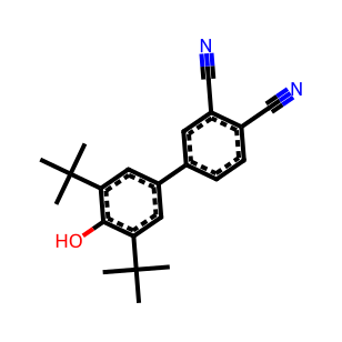 CC(C)(C)c1cc(-c2ccc(C#N)c(C#N)c2)cc(C(C)(C)C)c1O